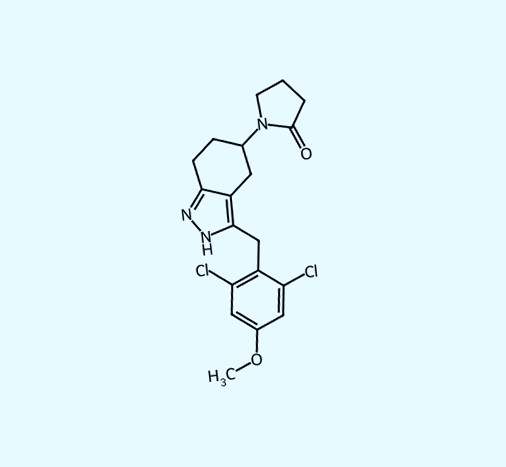 COc1cc(Cl)c(Cc2[nH]nc3c2CC(N2CCCC2=O)CC3)c(Cl)c1